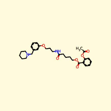 CC(=O)Oc1ccccc1C(=O)OCCCCC(=O)NCCCOc1cccc(CN2CCCCC2)c1